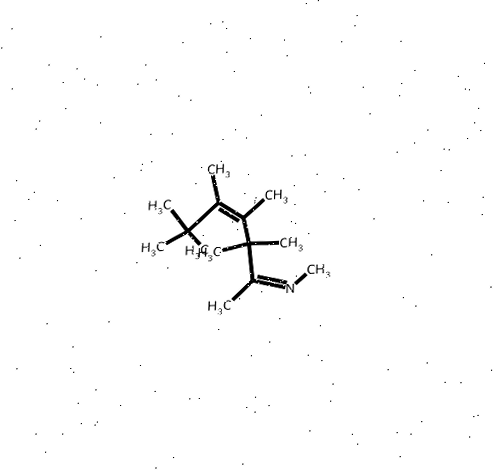 C/N=C(/C)C(C)(C)/C(C)=C(/C)C(C)(C)C